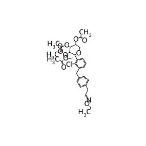 CCON=CCc1ccc(Cc2cccc([C@]3(COC(C)=O)OCC(OC(C)=O)C(OC(C)=O)C3OC(C)=O)c2Cl)cc1